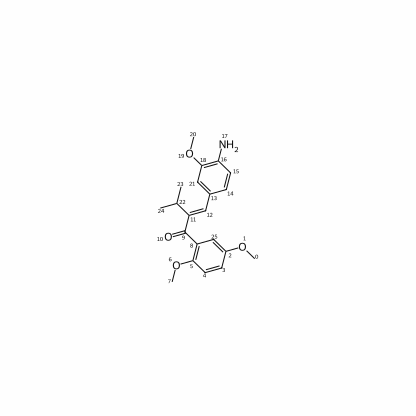 COc1ccc(OC)c(C(=O)C(=Cc2ccc(N)c(OC)c2)C(C)C)c1